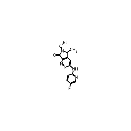 CCON1C(=O)c2nnc(Nc3ccc(F)cn3)cc2C1C